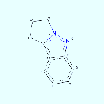 c1ccc2c3n(nc2c1)CCC3